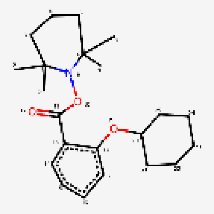 CC1(C)CCCC(C)(C)N1OC(=O)c1ccccc1OC1CCCCC1